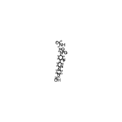 CC(=O)NC[C@H]1CN(c2ccc(-c3ccc(N4CCN(CCO)CC4)nc3)c(F)c2)C(=O)O1